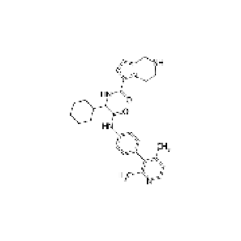 Cc1ccnc(C)c1-c1ccc(NC(=O)C(NC(=O)c2ccc3n2CCNC3)C2CCCCC2)cc1